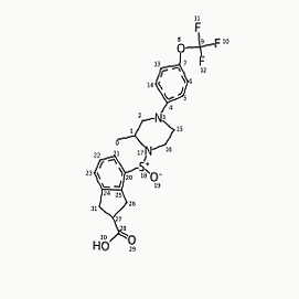 CC1CN(c2ccc(OC(F)(F)F)cc2)CCN1[S+]([O-])c1cccc2c1CC(C(=O)O)C2